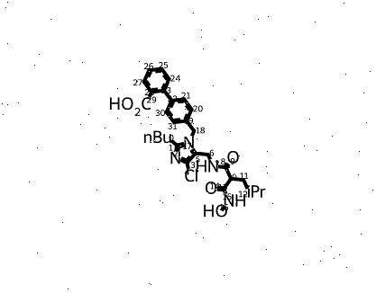 CCCCc1nc(Cl)c(CNC(=O)C(CC(C)C)C(=O)NO)n1Cc1ccc(-c2ccccc2C(=O)O)cc1